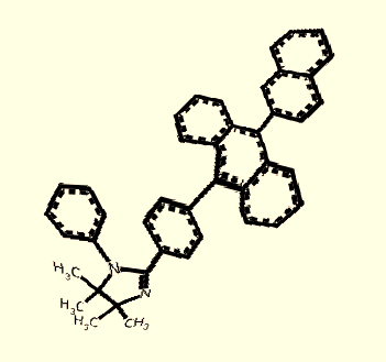 CC1(C)N=C(c2ccc(-c3c4ccccc4c(-c4ccc5ccccc5c4)c4ccccc34)cc2)N(c2ccccc2)C1(C)C